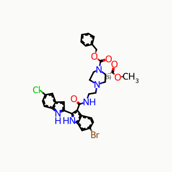 COC(=O)[C@@H]1CN(CCNC(=O)c2c(-c3cc4cc(Cl)ccc4[nH]3)[nH]c3cc(Br)ccc23)CCN1C(=O)OCc1ccccc1